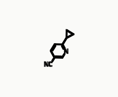 N#Cc1ccc(C2CC2)nc1